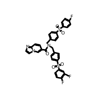 O=C(c1ccc2nccn2c1)N(Cc1ccc(S(=O)(=O)c2ccc(F)cc2)cc1)Cc1ccc(S(=O)(=O)c2ccc(F)c(F)c2)cc1